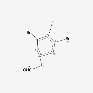 O=CCc1cc(Br)c(F)c(Br)c1